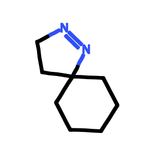 C1CCC2(CC1)CCN=N2